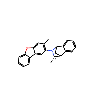 Cc1cc2oc3ccccc3c2cc1N1C2CC(c3ccccc32)[C@@H]1C